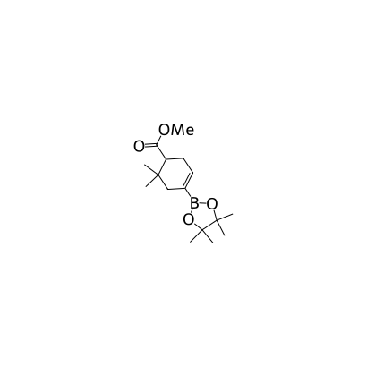 COC(=O)C1CC=C(B2OC(C)(C)C(C)(C)O2)CC1(C)C